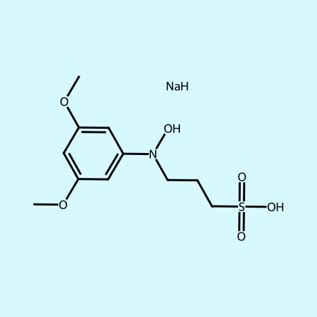 COc1cc(OC)cc(N(O)CCCS(=O)(=O)O)c1.[NaH]